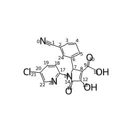 N#Cc1cccc(C2C(C(=O)O)=C(O)C(=O)N2c2ccc(Cl)cn2)c1